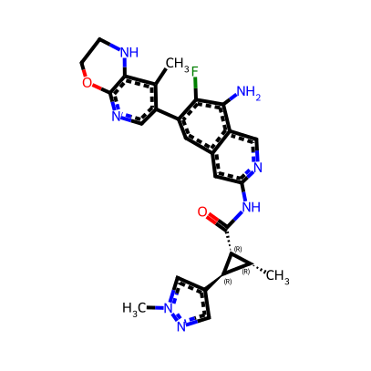 Cc1c(-c2cc3cc(NC(=O)[C@@H]4[C@H](C)[C@H]4c4cnn(C)c4)ncc3c(N)c2F)cnc2c1NCCO2